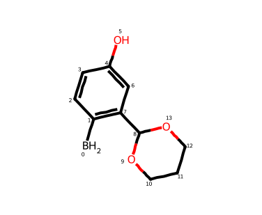 Bc1ccc(O)cc1C1OCCCO1